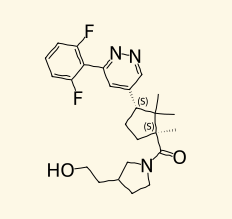 CC1(C)[C@@H](c2cnnc(-c3c(F)cccc3F)c2)CC[C@]1(C)C(=O)N1CCC(CCO)C1